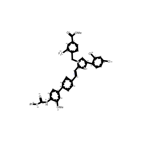 COC(=O)c1ccc(Cn2cc(-c3ccc(Cl)cc3Cl)nc2/C=C/c2ccc(-c3ccc(NC(=O)OC(C)C)c(OC)c3)cc2)c(C(F)(F)F)c1